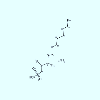 N.O=S(=O)(O)CC(F)C(F)CCCCCCCCF